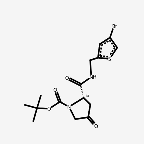 CC(C)(C)OC(=O)N1CC(=O)C[C@H]1C(=O)NCc1cc(Br)cs1